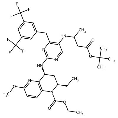 CCOC(=O)N1c2ccc(OC)nc2[C@@H](Nc2ncc(NC(C)CC(=O)OC(C)(C)C)c(Cc3cc(C(F)(F)F)cc(C(F)(F)F)c3)n2)C[C@H]1CC